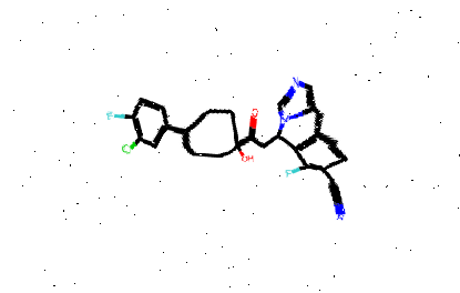 N#Cc1ccc2c(c1F)C(CC(=O)C1(O)CCC(c3ccc(F)c(Cl)c3)CC1)n1cncc1-2